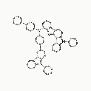 c1ccc(-c2ccc(N(c3ccc(-c4ccc5c(c4)c4ccccc4n5-c4ccccc4)cc3)c3cccc4c3sc3c4ccc4c3c3ccccc3n4-c3ccccc3)cc2)cc1